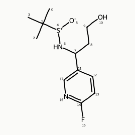 CC(C)(C)[S+]([O-])NC(CCO)c1ccc(F)nc1